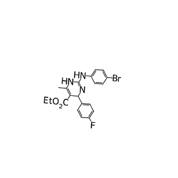 CCOC(=O)C1=C(C)NC(Nc2ccc(Br)cc2)=NC1c1ccc(F)cc1